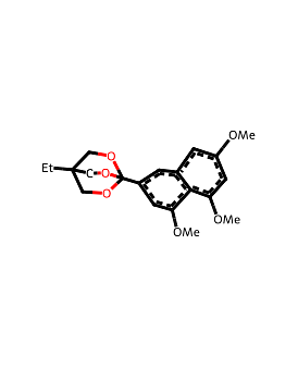 CCC12COC(c3cc(OC)c4c(OC)cc(OC)cc4c3)(OC1)OC2